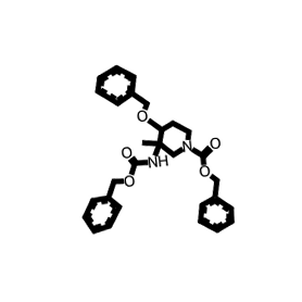 CC1(NC(=O)OCc2ccccc2)CN(C(=O)OCc2ccccc2)CCC1OCc1ccccc1